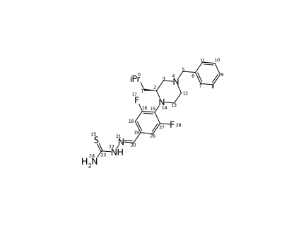 CC(C)C[C@H]1CN(Cc2ccccc2)CCN1c1c(F)cc(C=NNC(N)=S)cc1F